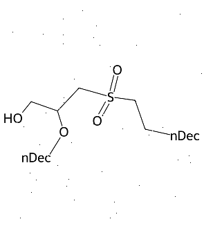 CCCCCCCCCCCCS(=O)(=O)CC(CO)OCCCCCCCCCC